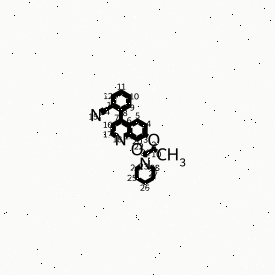 CC(Oc1ccc2c(-c3ccccc3C#N)ccnc2c1)C(=O)N1CCCCC1